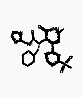 Cc1cc(-c2cccc(S(C)(=O)=O)c2)c([C@H](CC2CCCCC2)C(=O)Nc2nccs2)c(=O)[nH]1